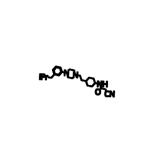 CC(C)Cc1cccc(N2CCN(CCC3CCC(NC(=O)CC#N)CC3)CC2)c1